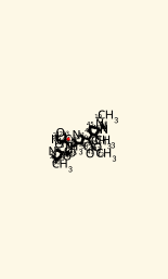 CCn1nnc2c(C)c(C(c3cnc(C)c(CN4CC5(CCOCC5)Oc5ncc(C)cc5S4(=O)=O)c3)C(C)(C)C(=O)OC)ccc21